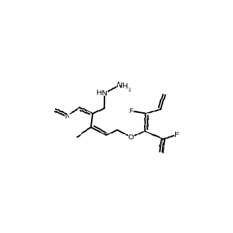 C=C/C(F)=C(/OC/C=C(C)\C(=C/N=C)CNN)C(=C)F